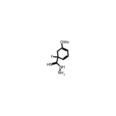 COC1=CC=CC(F)(C(=N)NN)C1